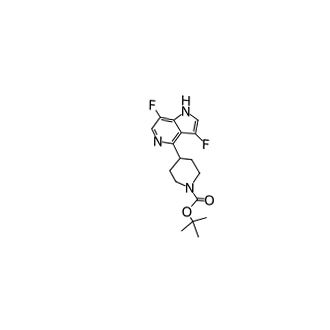 CC(C)(C)OC(=O)N1CCC(c2ncc(F)c3[nH]cc(F)c23)CC1